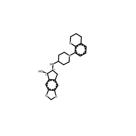 O[C@@H]1c2cc3c(cc2C[C@@H]1NC1CCN(c2cccc4c2OCCC4)CC1)OCO3